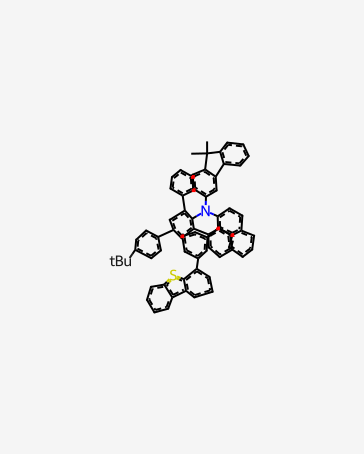 CC(C)(C)c1ccc(-c2cc(-c3ccccc3)c(N(c3ccc4c(c3)-c3ccccc3C4(C)C)c3ccc4ccccc4c3-c3cccc(-c4cccc5c4sc4ccccc45)c3)c(-c3ccccc3)c2)cc1